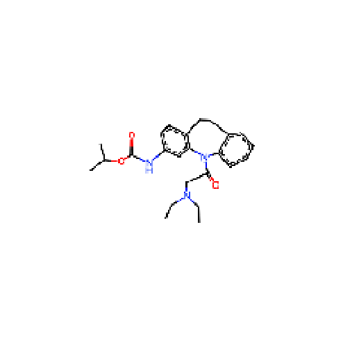 CCN(CC)CC(=O)N1c2ccccc2CCc2ccc(NC(=O)OC(C)C)cc21